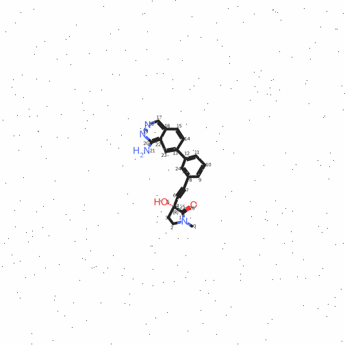 CN1CC[C@@](O)(C#Cc2cccc(-c3ccc4cnnc(N)c4c3)c2)C1=O